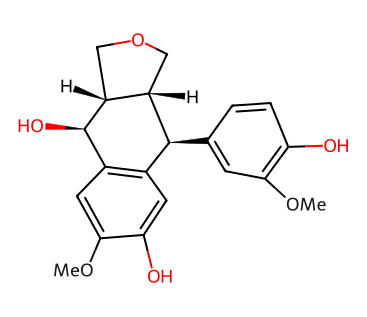 COc1cc([C@H]2c3cc(O)c(OC)cc3[C@@H](O)[C@@H]3COC[C@H]23)ccc1O